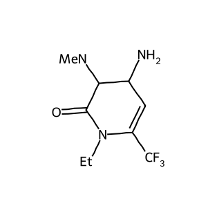 CCN1C(=O)C(NC)C(N)C=C1C(F)(F)F